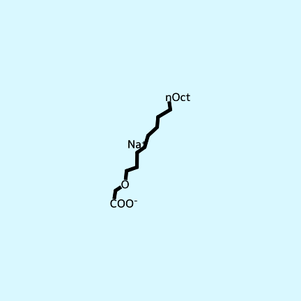 CCCCCCCCCCCCCCCCOCC(=O)[O-].[Na+]